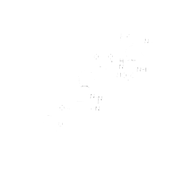 CN(C)c1cc(NC(=O)O)c(NC(=O)CC(=O)c2cccc(-n3nncc3CCOC3CCCCO3)c2)cc1C(F)(F)F